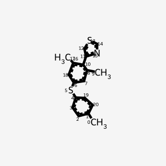 Cc1ccc(Sc2cc(C)c(-c3cscn3)c(C)c2)cc1